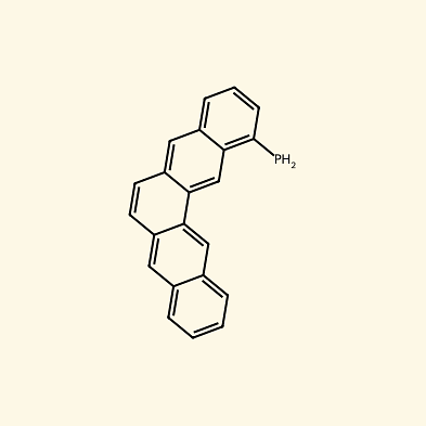 Pc1cccc2cc3ccc4cc5ccccc5cc4c3cc12